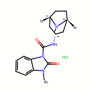 CC(C)n1c(=O)n(C(=O)N[C@H]2C[C@H]3CC[C@@H](C2)N3C)c2ccccc21.Cl